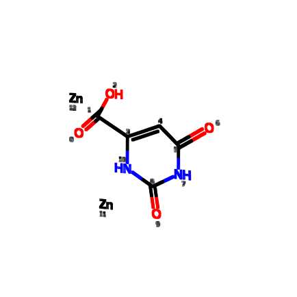 O=C(O)c1cc(=O)[nH]c(=O)[nH]1.[Zn].[Zn]